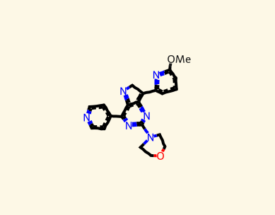 COc1cccc(C2=c3nc(N4CCOCC4)nc(-c4ccncc4)c3=NC2)n1